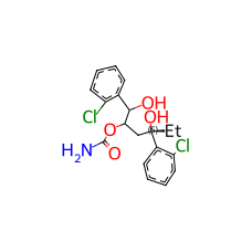 CC[C@](O)(CC(OC(N)=O)C(O)c1ccccc1Cl)c1ccccc1Cl